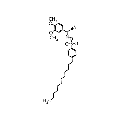 CCCCCCCCCCCCc1ccc(S(=O)(=O)ON=C(C#N)c2ccc(OC)c(OC)c2)cc1